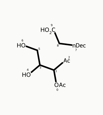 CC(=O)OC(C(C)=O)C(O)CO.CCCCCCCCCCCC(=O)O